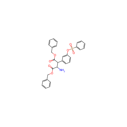 NC(C(=O)OCc1ccccc1)C(C(=O)OCc1ccccc1)c1cccc(OS(=O)(=O)c2ccccc2)c1